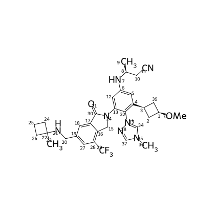 CO[C@H]1C[C@@H](c2cc(N[C@@H](C)CC#N)cc(N3Cc4c(cc(CNC5(C)CCC5)cc4C(F)(F)F)C3=O)c2-[n+]2cn(C)cn2)C1